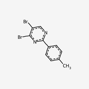 Cc1ccc(-c2ncc(Br)c(Br)n2)cc1